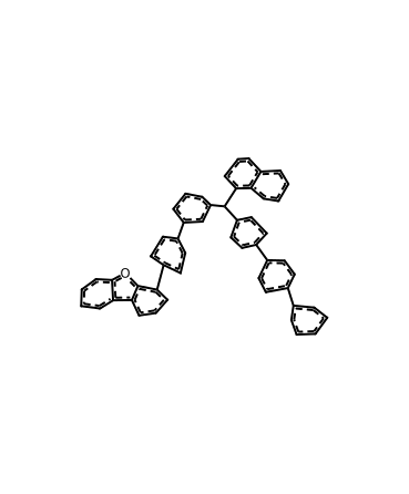 c1ccc(-c2ccc(-c3ccc(C(c4cccc(-c5ccc(-c6cccc7c6oc6ccccc67)cc5)c4)c4cccc5ccccc45)cc3)cc2)cc1